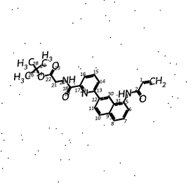 C=CC(=O)Nc1cccc2ccc(-c3cccc(C(=O)NCC(=O)OC(C)(C)C)n3)cc12